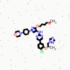 COCCCCOc1nn([C@H]2CC[C@H](N3CCOCC3)CC2)cc1Nc1ncc(-c2ccc(Cl)c(O[C@@H](C)Cn3cncn3)c2)cn1